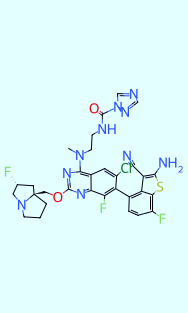 CN(CCNC(=O)n1cncn1)c1nc(OC[C@@]23CCCN2C[C@H](F)C3)nc2c(F)c(-c3ccc(F)c4sc(N)c(C#N)c34)c(Cl)cc12